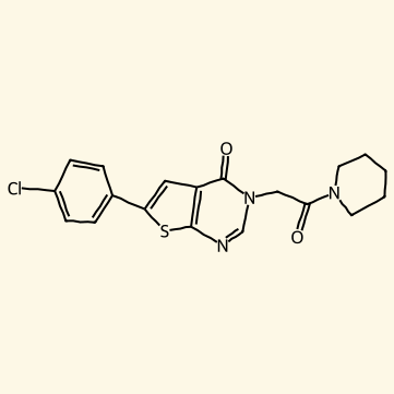 O=C(Cn1cnc2sc(-c3ccc(Cl)cc3)cc2c1=O)N1CCCCC1